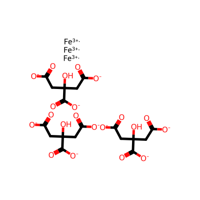 O=C([O-])CC(O)(CC(=O)[O-])C(=O)[O-].O=C([O-])CC(O)(CC(=O)[O-])C(=O)[O-].O=C([O-])CC(O)(CC(=O)[O-])C(=O)[O-].[Fe+3].[Fe+3].[Fe+3]